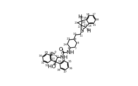 CC(C)[C@@H](NC(=O)NC1CCC(CCN2[C@@H]3c4ccccc4[C@H]4CC432)CC1)C(O)(c1ccccc1)c1ccccc1